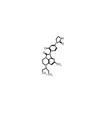 CCC(CC)N1CCn2c(=O)n(-c3ccc(N4CCNC4=O)cc3Cl)c3nc(C)cc1c32